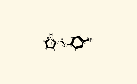 CC(C)c1ccc(OC[C@@H]2CCCN2)cc1